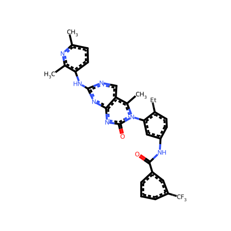 CCc1ccc(NC(=O)c2cccc(C(F)(F)F)c2)cc1-n1c(C)c2cnc(Nc3ccc(C)nc3C)nc2nc1=O